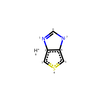 C1=Nc2cscc2[N]1.[H+]